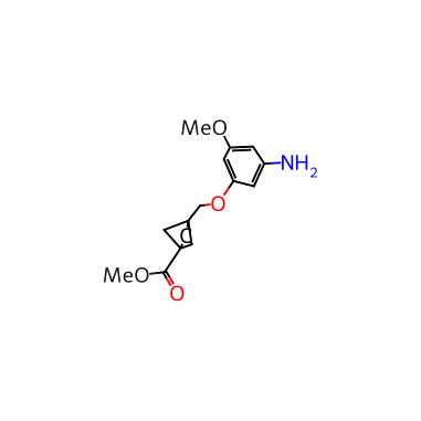 COC(=O)C12CC(COc3cc(N)cc(OC)c3)(C1)C2